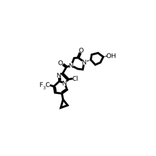 O=C(c1nc2c(C(F)(F)F)cc(C3CC3)cn2c1Cl)N1CCN([C@H]2CC[C@@H](O)CC2)C(=O)C1